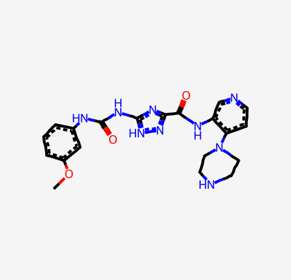 COc1cccc(NC(=O)Nc2nc(C(=O)Nc3cnccc3N3CCNCC3)n[nH]2)c1